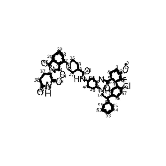 COc1ccc(C(N)=O)c(-c2cc(C(CNC3CCC(NC(=O)C4CCN(c5cccc6c5C(=O)N(C5CCC(=O)NC5=O)C6=O)CC4)CC3)c3ccccc3)ccc2Cl)c1F